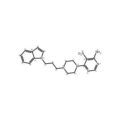 Nc1ncnc(N2CCN(CCCn3ccc4ccccc43)CC2)c1[N+](=O)[O-]